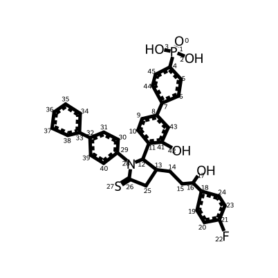 O=P(O)(O)c1ccc(-c2ccc(C3C(CCC(O)c4ccc(F)cc4)CC(=S)N3c3ccc(-c4ccccc4)cc3)c(O)c2)cc1